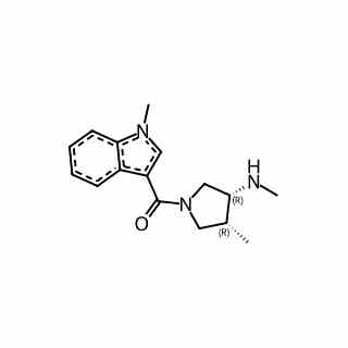 CN[C@H]1CN(C(=O)c2cn(C)c3ccccc23)C[C@H]1C